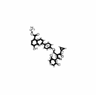 COC(=O)c1ccc(O)c2nc(C34CCC(OCc5c(-c6c(Cl)cncc6Cl)noc5C5CC5)(CC3)CC4)ccc12